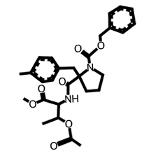 COC(=O)C(NC(=O)C1(Cc2ccc(C)cc2)CCCN1C(=O)OCc1ccccc1)C(C)OC(C)=O